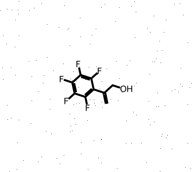 C=C(CO)c1c(F)c(F)c(F)c(F)c1F